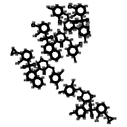 Cc1ccc(CC2CON=C(c3c(S(=O)(=O)c4cccc(C5CC5)c4F)cnc4ccccc34)N2)c(C)c1.Cc1ccc(CC2CON=C(c3c(S(=O)(=O)c4cccc(Cl)c4F)cnc4ccccc34)N2)c(Cl)c1.Cc1ccc(CC2CON=C(c3nc(C)nnc3S(=O)(=O)c3cccc(C4CC4)c3F)N2)c(C)c1.Cc1ccc(CC2CON=C(c3nc(C)nnc3S(=O)(=O)c3cccc(Cl)c3F)N2)c(Cl)c1